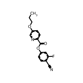 CCCOc1ccc(C(=O)Oc2ccc(C#N)c(F)c2)nc1